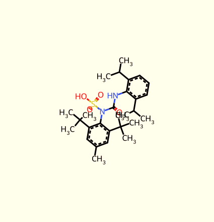 Cc1cc(C(C)(C)C)c(N(C(=O)Nc2c(C(C)C)cccc2C(C)C)S(=O)(=O)O)c(C(C)(C)C)c1